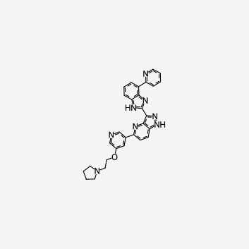 c1ccc(-c2cccc3[nH]c(-c4n[nH]c5ccc(-c6cncc(OCCN7CCCC7)c6)nc45)nc23)nc1